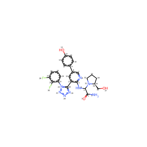 NC(=O)C(Nc1ncc(-c2ccc(O)cc2)cc1-c1nnnn1-c1cccc(F)c1F)N1CCC[C@H]1CO